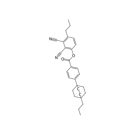 CCCc1ccc(OC(=O)c2ccc(C34CCC(CCC)(CC3)CC4)cc2)c(C#N)c1C#N